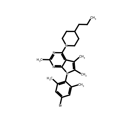 CCCC1CCN(c2nc(C)nc3c2c(C)c(C)n3-c2c(C)cc(Br)cc2C)CC1